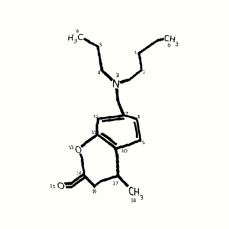 CCCN(CCC)c1ccc2c(c1)OC(=O)CC2C